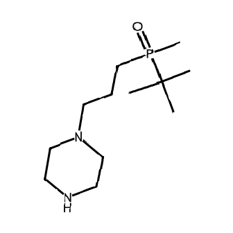 CC(C)(C)P(C)(=O)CCCN1CCNCC1